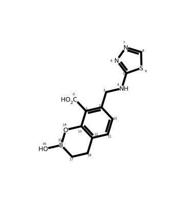 O=C(O)c1c(CNc2nncs2)ccc2c1OB(O)CC2